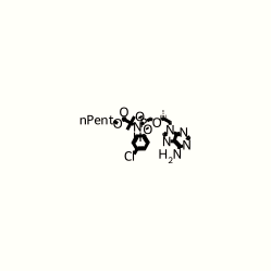 CCCCCOC(=O)C(C)(C)NP(=O)(CO[C@H](C)Cn1cnc2c(N)ncnc21)Oc1ccc(Cl)cc1